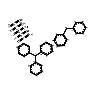 N=C=O.N=C=O.N=C=O.N=C=O.N=C=O.c1ccc(C(c2ccccc2)c2ccccc2)cc1.c1ccc(Cc2ccccc2)cc1